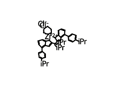 CC(C)CC1=Cc2c(-c3ccc(C(C)C)cc3)cccc2[CH]1[Zr+2]1([CH]2C(CC(C)C)=Cc3c(-c4ccc(C(C)C)cc4)cccc32)[CH]2CCCC[CH]21.[Cl-].[Cl-]